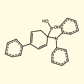 OB(O)C1(N(c2ccccc2)c2ccccc2)C=CC(c2ccccc2)=CC1